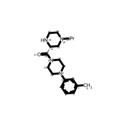 Cc1cccc(N2CCN(C(=O)[C@H]3CN(C(C)C)CCN3)CC2)c1